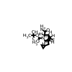 CC(C)(C)OC(=O)N1[C@H](C(N)=O)[C@@H]2CC[C@H]1[C@@H](CC1CC1)[C@H]2F